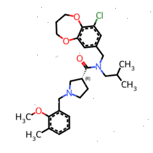 COc1c(C)cccc1CN1CC[C@@H](C(=O)N(Cc2cc(Cl)c3c(c2)OCCCO3)CC(C)C)C1